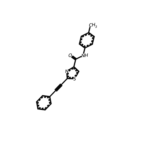 Cc1ccc(NC(=O)c2csc(C#Cc3ccccc3)n2)cc1